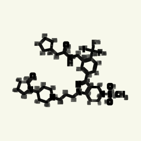 CS(=O)(=O)N1CCc2c(c(-c3ccc(C(F)(F)F)c(CNC(=O)CC4CCCC4)c3)nn2CCCN2CCC(N3CCCC3=O)CC2)C1